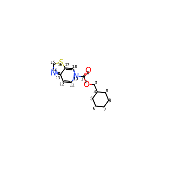 O=C(OCC1CCCCC1)N1C=CC2=NCSC2=C1